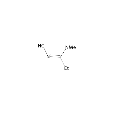 [CH2]CC(=NC#N)NC